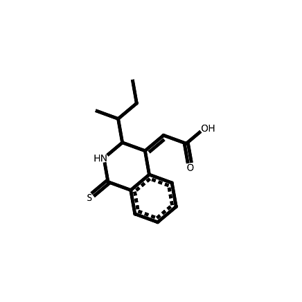 CCC(C)C1NC(=S)c2ccccc2/C1=C\C(=O)O